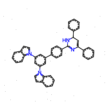 C1=C(c2ccccc2)N=C(c2ccc(-c3cc(-n4ccc5ccccc54)cc(-n4ccc5ccccc54)c3)cc2)NC1c1ccccc1